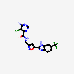 Nc1ncnc(C(=O)NCc2cc(-c3nc4ccc(C(F)(F)F)cc4[nH]3)on2)c1Cl